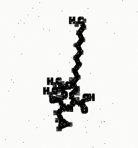 CCCCCCCCCCCCS/C(=N\N(CC1CC1)C(=O)OC(C)(C)C)C(=O)O